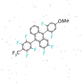 COc1cc(F)c(-c2c3ccccc3c(-c3c(F)c(F)c(C(F)(F)F)c(F)c3F)c3cc(F)c(F)cc23)c(F)c1